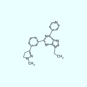 CCn1cnc2c(-c3ccncc3)nc(-c3cccc(C4=NN(C)CC4)c3)nc21